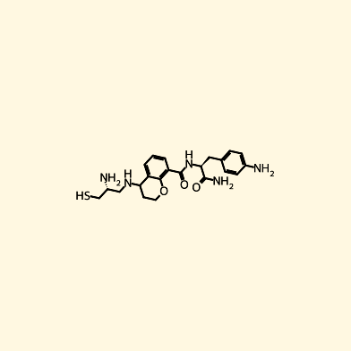 NC(=O)[C@H](Cc1ccc(N)cc1)NC(=O)c1cccc2c1OCCC2NC[C@@H](N)CS